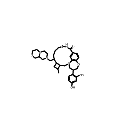 CCCc1cc(O)ccc1C1COc2ccc3cc2N(C1)CC1C(C)CC1C(CN1CCN2CCOCC2C1)CCCSNC3=O